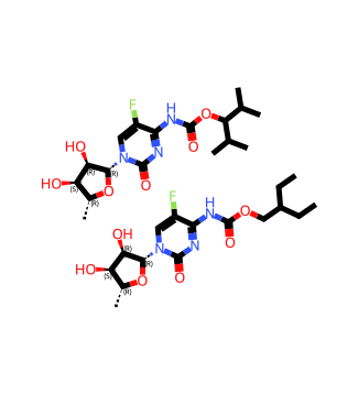 CC(C)C(OC(=O)Nc1nc(=O)n([C@@H]2O[C@H](C)[C@@H](O)[C@H]2O)cc1F)C(C)C.CCC(CC)COC(=O)Nc1nc(=O)n([C@@H]2O[C@H](C)[C@@H](O)[C@H]2O)cc1F